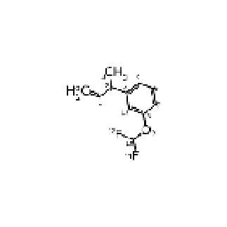 C=C[C](C)c1cccc(OC(F)F)c1